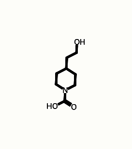 O=C(O)N1CCC(CCO)CC1